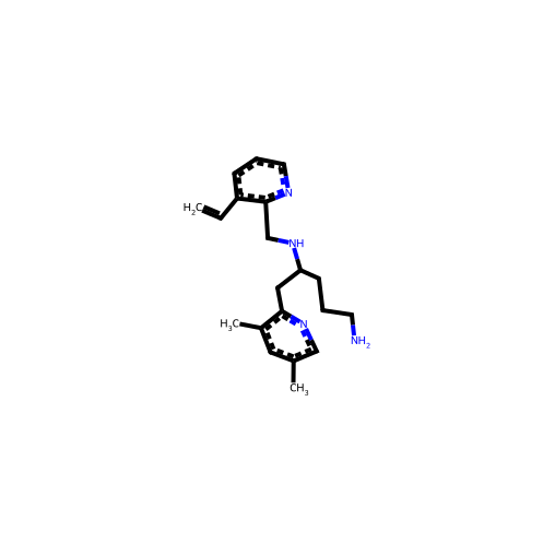 C=Cc1cccnc1CNC(CCCN)Cc1ncc(C)cc1C